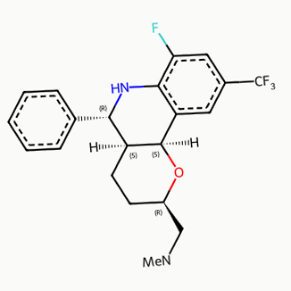 CNC[C@H]1CC[C@@H]2[C@H](O1)c1cc(C(F)(F)F)cc(F)c1N[C@H]2c1ccccc1